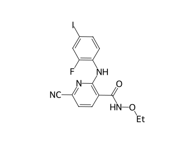 CCONC(=O)c1ccc(C#N)nc1Nc1ccc(I)cc1F